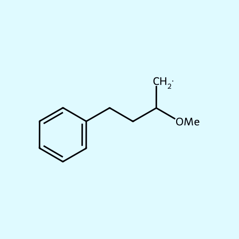 [CH2]C(CCc1ccccc1)OC